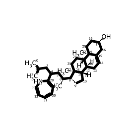 CC(C)CC(C[C@@H](C)[C@H]1CC[C@H]2[C@@H]3CC=C4C[C@@H](O)CC[C@]4(C)[C@H]3CC[C@]12C)C1=CC=CC=CN1